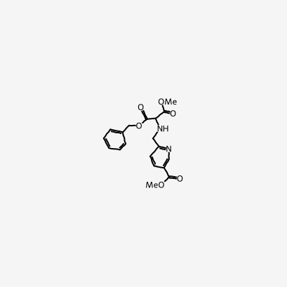 COC(=O)c1ccc(CNC(C(=O)OC)C(=O)OCc2ccccc2)nc1